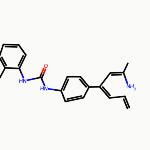 C=C/C=C(\C=C(\C)N)c1ccc(NC(=O)Nc2ccccc2C)cc1